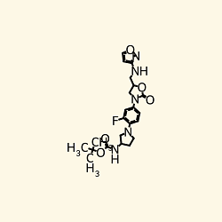 CC(C)(C)OC(=O)NC1CCN(c2ccc(N3CC(CNc4ccon4)OC3=O)cc2F)C1